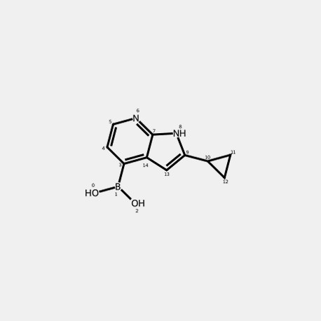 OB(O)c1ccnc2[nH]c(C3CC3)cc12